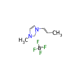 CC=CN1C=CN(C)C1.F[B-](F)(F)F